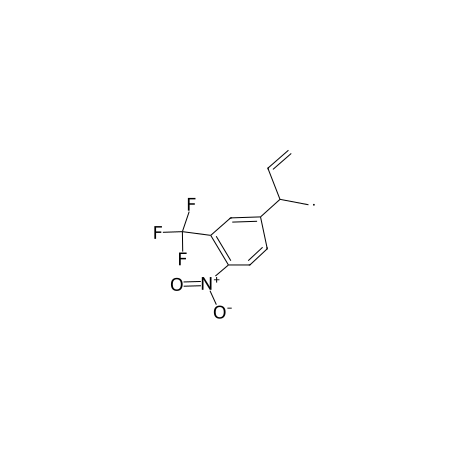 [CH2]C(C=C)c1ccc([N+](=O)[O-])c(C(F)(F)F)c1